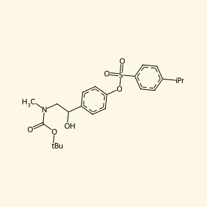 CC(C)c1ccc(S(=O)(=O)Oc2ccc(C(O)CN(C)C(=O)OC(C)(C)C)cc2)cc1